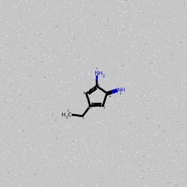 CCC1=CC(=N)C(N)=C1